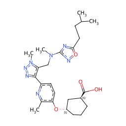 Cc1nc(-c2nnn(C)c2CN(C)c2noc(CCC(C)C)n2)ccc1O[C@H]1CCC[C@H](C(=O)O)C1